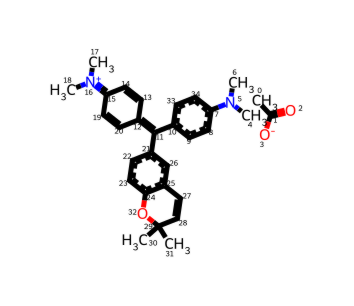 CC(=O)[O-].CN(C)c1ccc(C(=C2C=CC(=[N+](C)C)C=C2)c2ccc3c(c2)C=CC(C)(C)O3)cc1